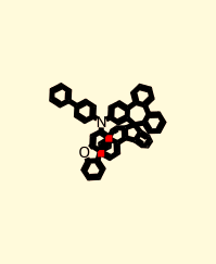 c1ccc(-c2ccc(N(c3ccc4c(c3)C3(c5ccccc5-c5ccccc5-4)c4ccccc4-c4c3ccc3ccccc43)c3ccc4c(c3)oc3ccccc34)cc2)cc1